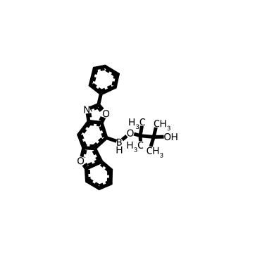 CC(C)(O)C(C)(C)OBc1c2oc(-c3ccccc3)nc2cc2oc3ccccc3c12